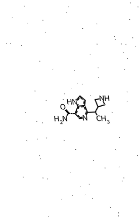 CC(c1ncc(C(N)=O)c2[nH]ccc12)C1CNC1